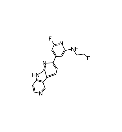 FCCNc1cc(-c2ccc3c(n2)[nH]c2ccncc23)cc(F)n1